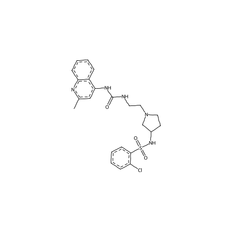 Cc1cc(NC(=O)NCCN2CCC(NS(=O)(=O)c3ccccc3Cl)C2)c2ccccc2n1